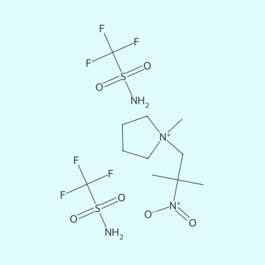 CC(C)(C[N+]1(C)CCCC1)[N+](=O)[O-].NS(=O)(=O)C(F)(F)F.NS(=O)(=O)C(F)(F)F